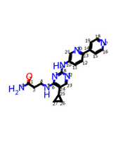 NC(=O)CCNc1nc(Nc2ccc(-c3ccncc3)nc2)ncc1C1CC1